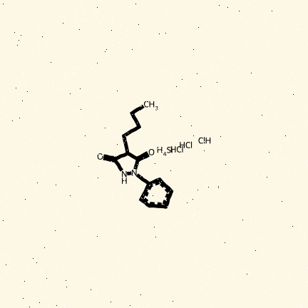 CCCCC1C(=O)NN(c2ccccc2)C1=O.Cl.Cl.Cl.[SiH4]